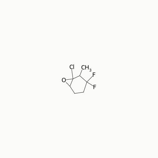 CC1C(F)(F)CCC2OC21Cl